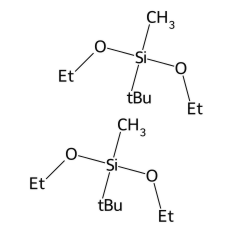 CCO[Si](C)(OCC)C(C)(C)C.CCO[Si](C)(OCC)C(C)(C)C